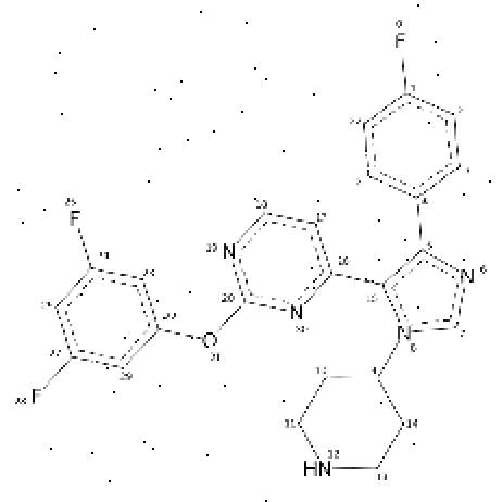 Fc1ccc(-c2ncn(C3CCNCC3)c2-c2ccnc(Oc3cc(F)cc(F)c3)n2)cc1